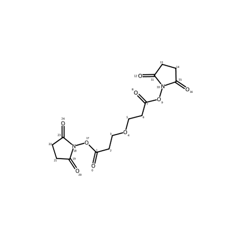 O=C(CCOCCC(=O)ON1C(=O)CCC1=O)ON1C(=O)CCC1=O